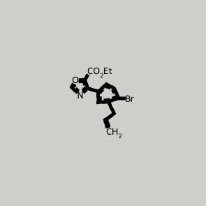 C=CCc1cc(-c2ncoc2C(=O)OCC)ccc1Br